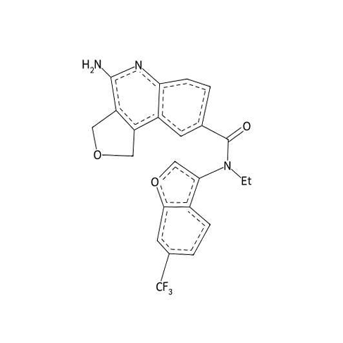 CCN(C(=O)c1ccc2nc(N)c3c(c2c1)COC3)c1coc2cc(C(F)(F)F)ccc12